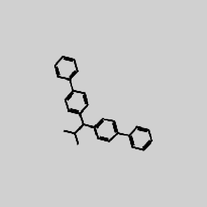 C[C](C)C(c1ccc(-c2ccccc2)cc1)c1ccc(-c2ccccc2)cc1